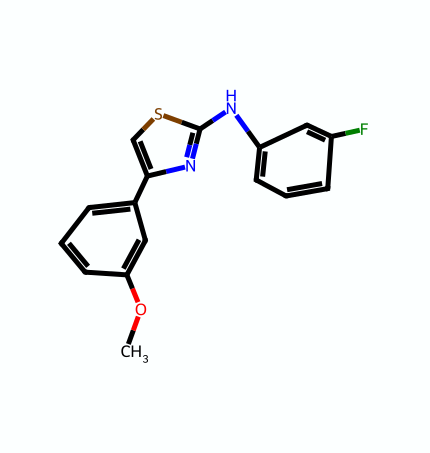 COc1cccc(-c2csc(Nc3cccc(F)c3)n2)c1